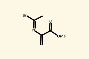 C=C(/N=C(\C)Br)C(=O)OC